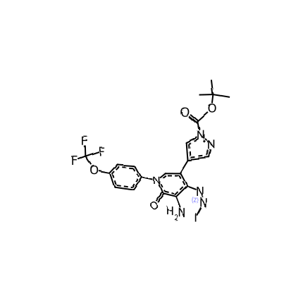 CC(C)(C)OC(=O)n1cc(-c2cn(-c3ccc(OC(F)(F)F)cc3)c(=O)c(N)c2/N=N\I)cn1